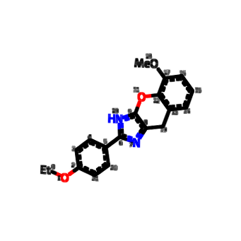 CCOc1ccc(-c2nc3c([nH]2)Oc2c(cccc2OC)C3)cc1